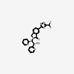 O=C1c2cc(-c3nnc(C(F)F)o3)ccc2CN1[C@H](c1ccccn1)[C@H](O)c1ccccn1